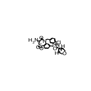 N[C@H]1CS(=O)(=O)c2ccc(-c3nnc(N4[C@@H]5CC[C@H]4COC5)o3)cc2N(Cc2ccc(Cl)cc2)C1=O